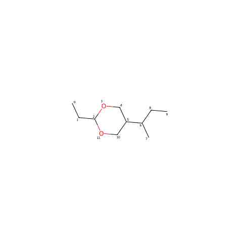 CCC1OCC(C(C)CC)CO1